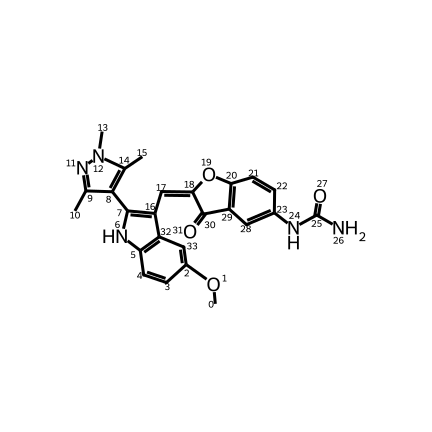 COc1ccc2[nH]c(-c3c(C)nn(C)c3C)c(C=C3Oc4ccc(NC(N)=O)cc4C3=O)c2c1